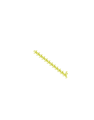 S=S=S=S=S=S=S=S=S=S=S=S=S=S=S=S=S=S=S=S=S=S=S=S(=S)=S